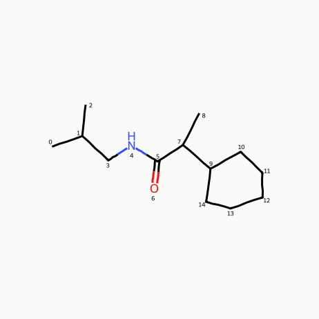 CC(C)CNC(=O)C(C)C1CCCCC1